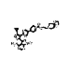 CC(C)n1nc(-c2noc(C3CC3)c2-c2ncc(C3CCN(C(=O)OCCN4CCC5(CC4)OCCO5)CC3)cn2)c2c(N)ncnc21